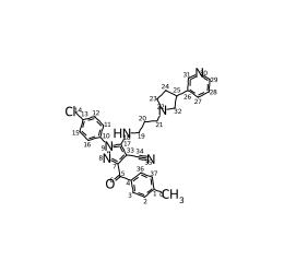 Cc1ccc(C(=O)c2nn(-c3ccc(Cl)cc3)c(NCCCN3CCC(c4cccnc4)C3)c2C#N)cc1